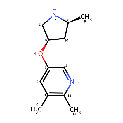 Cc1cc(O[C@H]2CN[C@@H](C)C2)cnc1C